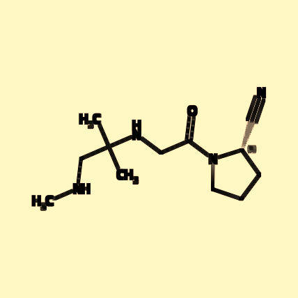 CNCC(C)(C)NCC(=O)N1CCC[C@H]1C#N